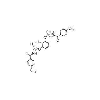 C[C@@H](CNC(=O)c1ccc(C(F)(F)F)cc1)Oc1cccc(O[C@@H](C)CNC(=O)c2ccc(C(F)(F)F)cc2)c1I